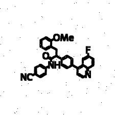 COc1ccccc1CC(C(=O)Nc1ccc(C#N)cc1)c1ccc(-c2ccnc3ccc(F)cc23)cc1